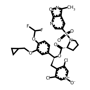 Cc1noc2ncc(S(=O)(=O)N3CCC[C@@H]3C(=O)O[C@@H](Cc3c(Cl)c[n+]([O-])cc3Cl)c3ccc(OC(F)F)c(OCC4CC4)c3)cc12